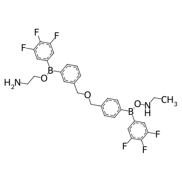 CCNOB(c1ccc(COCc2cccc(B(OCCN)c3cc(F)c(F)c(F)c3)c2)cc1)c1cc(F)c(F)c(F)c1